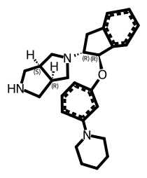 c1cc(O[C@@H]2c3ccccc3C[C@H]2N2C[C@H]3CNC[C@H]3C2)cc(N2CCCCC2)c1